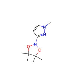 Cn1ccc(N2OC(C)(C)C(C)(C)O2)n1